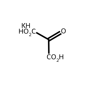 O=C(O)C(=O)C(=O)O.[KH]